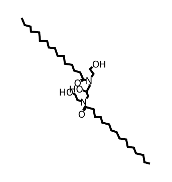 CCCCCCCCCCCCCCCC(=O)N(CCO)CC(O)CN(CCO)C(=O)CCCCCCCCCCCCCCC